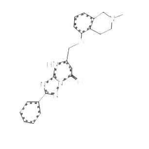 CN1CCc2c(cccc2OCc2cc(=O)n3nc(-c4ccccc4)nc3[nH]2)C1